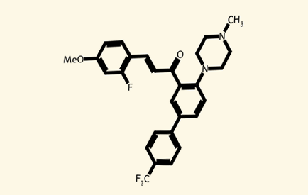 COc1ccc(C=CC(=O)c2cc(-c3ccc(C(F)(F)F)cc3)ccc2N2CCN(C)CC2)c(F)c1